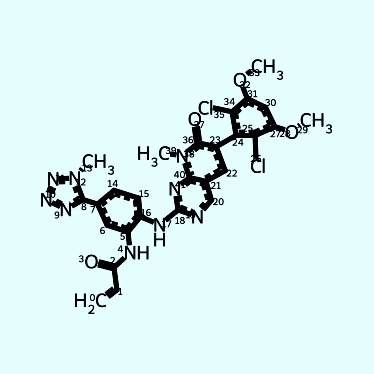 C=CC(=O)Nc1cc(-c2nnnn2C)ccc1Nc1ncc2cc(-c3c(Cl)c(OC)cc(OC)c3Cl)c(=O)n(C)c2n1